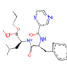 CCCOB(OC)[C@H](CC(C)C)NC(=O)[C@H](Cc1ccccc1)NC(=O)c1cnccn1